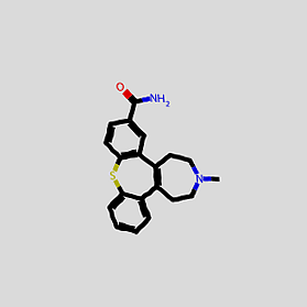 CN1CCC2=C(CC1)c1cc(C(N)=O)ccc1Sc1ccccc12